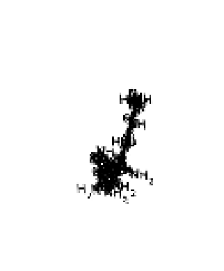 NCCCCN(CC(=O)N(CCCCN)CC(=O)N(CCCCN)CC(=O)N(CC(=O)N(CCCCN)CC(=O)N(CC(N)=O)Cc1ccccc1)Cc1ccccc1)C(=O)CCCCCNC(=O)CCCCCNC(=O)CCCCC1SC[C@@H]2NC(=O)N[C@H]12